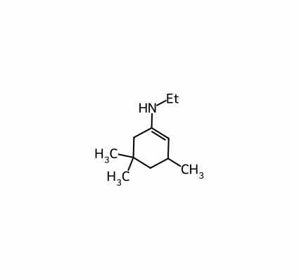 CCNC1=CC(C)CC(C)(C)C1